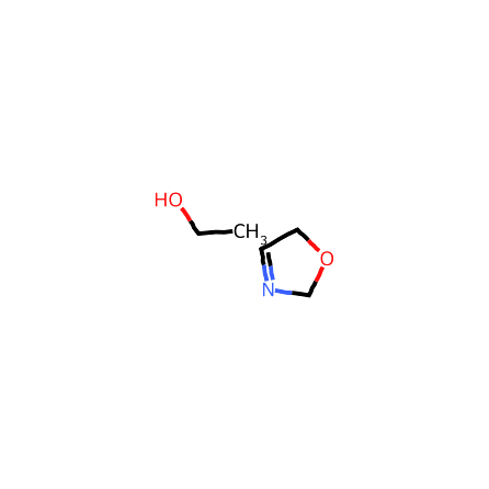 C1=NCOC1.CCO